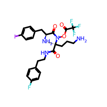 C[C@](CCCN)(C(=O)NCCc1ccc(F)cc1)N(OC(=O)C(F)(F)F)C(=O)[C@@H](N)Cc1ccc(I)cc1